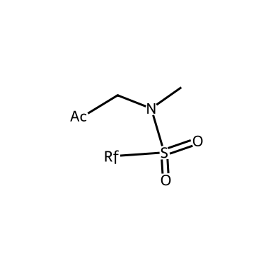 CC(=O)CN(C)[S](=O)(=O)[Rf]